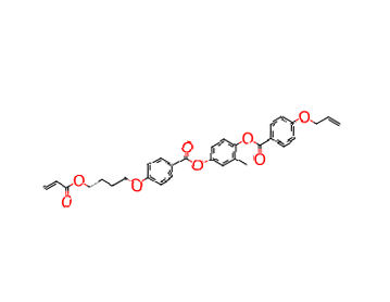 C=CCOc1ccc(C(=O)Oc2ccc(OC(=O)c3ccc(OCCCCOC(=O)C=C)cc3)cc2C)cc1